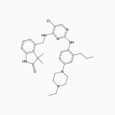 CCCc1cc(N2CCN(CC)CC2)ccc1Nc1ncc(Cl)c(NCc2cccc3c2C(C)(C)C(=O)N3)n1